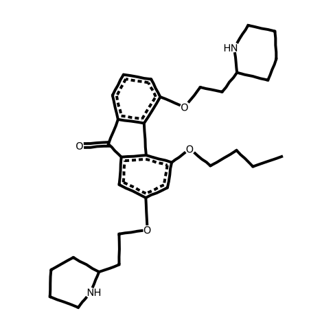 CCCCOc1cc(OCCC2CCCCN2)cc2c1-c1c(OCCC3CCCCN3)cccc1C2=O